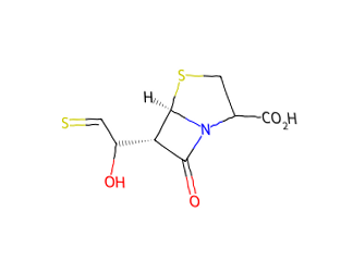 O=C(O)C1CS[C@@H]2[C@@H](C(O)C=S)C(=O)N12